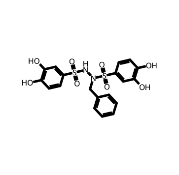 O=S(=O)(NN(Cc1ccccc1)S(=O)(=O)c1ccc(O)c(O)c1)c1ccc(O)c(O)c1